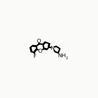 N[C@H]1CCN(c2ccc3c(=O)c4cccc(F)c4oc3c2)C1